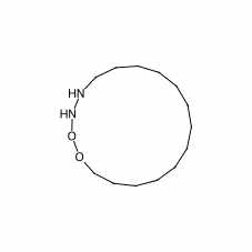 C1CCCCCCNNOOCCCCCC1